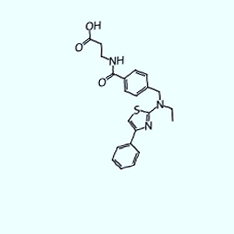 CCN(Cc1ccc(C(=O)NCCC(=O)O)cc1)c1nc(-c2ccccc2)cs1